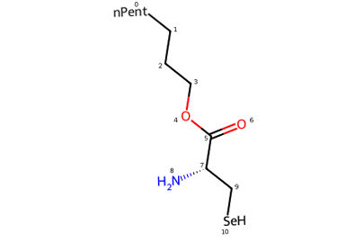 CCCCCCCCOC(=O)[C@@H](N)C[SeH]